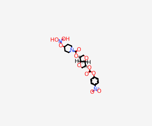 O=C(Oc1ccc([N+](=O)[O-])cc1)O[C@@H]1CO[C@H]2[C@@H]1OC[C@H]2OC(=O)N1CCC(ON(O)O)CC1